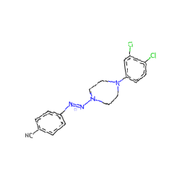 N#Cc1ccc(/N=N/N2CCN(c3ccc(Cl)c(Cl)c3)CC2)cc1